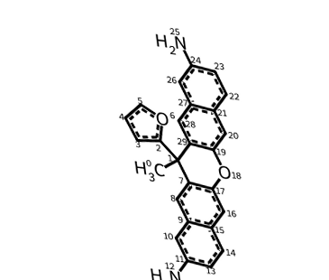 CC1(c2ccco2)c2cc3cc(N)ccc3cc2Oc2cc3ccc(N)cc3cc21